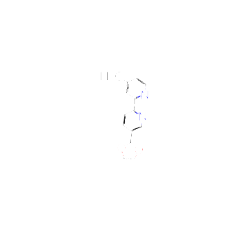 Cc1ccnc(-c2ccc(C3OCCO3)cn2)c1